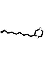 C=CCCCCCCCC1COCCO1